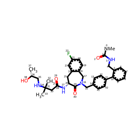 CNC(=O)NCc1ccccc1-c1ccc(CN2Cc3ccc(F)cc3C[C@@H](NC(=O)CC(C)(C)NC[C@@H](C)O)C2=O)cc1